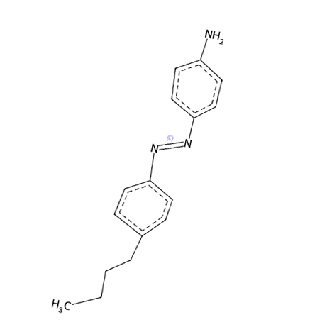 CCCCc1ccc(/N=N/c2ccc(N)cc2)cc1